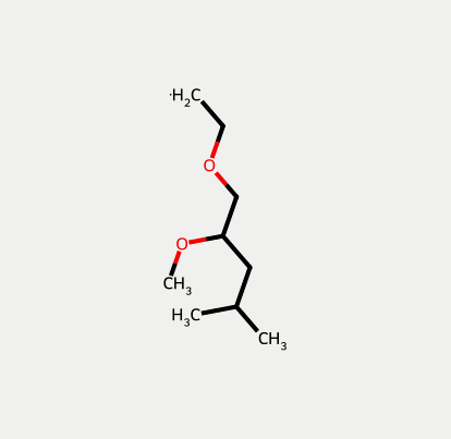 [CH2]COCC(CC(C)C)OC